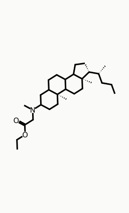 CCC[C@@H](C)[C@H]1CCC2C3CCC4CC(N(C)CC(=O)OCC)CC[C@]4(C)C3CC[C@@]21C